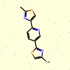 Cc1nc(-c2ccc(-c3nc(C#N)cs3)cn2)cs1